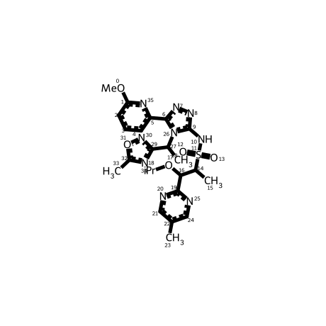 COc1cccc(-c2nnc(NS(=O)(=O)C(C)C(OC(C)C)c3ncc(C)cn3)n2C(C)c2noc(C)n2)n1